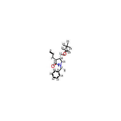 C=CC[C@@H]1C(=O)N([C@H](C)c2ccccc2)C[C@H]1CO[Si](C)(C)C(C)(C)C